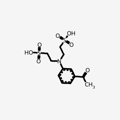 CC(=O)c1cccc(N(CCS(=O)(=O)O)CCS(=O)(=O)O)c1